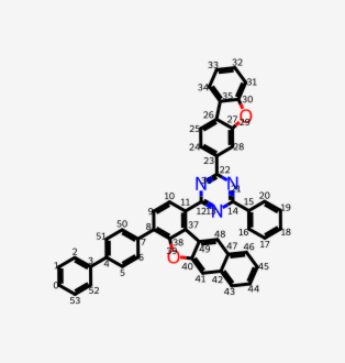 c1ccc(-c2ccc(-c3ccc(-c4nc(-c5ccccc5)nc(-c5ccc6c(c5)oc5ccccc56)n4)c4c3oc3cc5ccccc5cc34)cc2)cc1